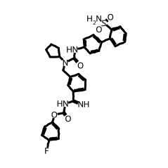 N=C(NC(=O)Oc1ccc(F)cc1)c1cccc(CN(C(=O)Nc2ccc(-c3ccccc3S(N)(=O)=O)cc2)C2CCCC2)c1